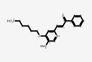 CCOC(=O)CCCCCOc1cc(/C=C/C(=O)c2ccccc2)ncc1OC